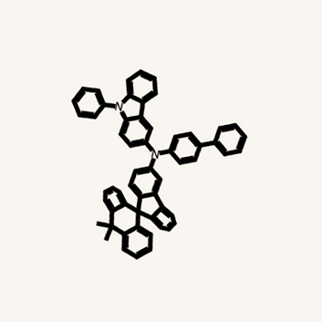 CC1(C)c2ccccc2C2(c3ccccc3-c3cc(N(c4ccc(-c5ccccc5)cc4)c4ccc5c(c4)c4ccccc4n5-c4ccccc4)ccc32)c2ccccc21